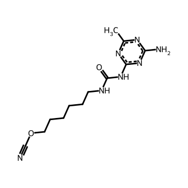 Cc1nc(N)nc(NC(=O)NCCCCCCOC#N)n1